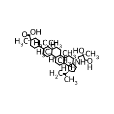 C=C(C)[C@@H]1CC[C@]2(NC[C@@](C)(O)CO)CC[C@]3(C)[C@H](CC[C@@H]4[C@@]5(C)CC=C(C6=CC[C@](C)(C(=O)O)CC6)C(C)(C)[C@@H]5CC[C@]43C)[C@@H]12